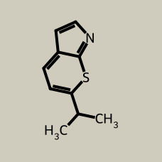 CC(C)c1ccc2ccnc-2s1